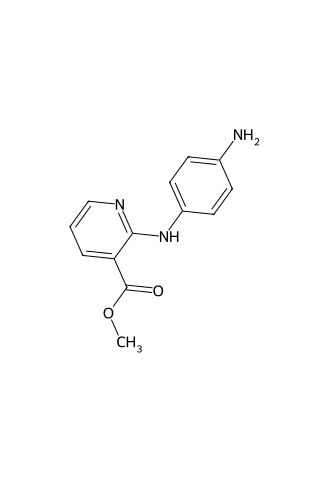 COC(=O)c1cccnc1Nc1ccc(N)cc1